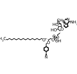 CCCCCCCCCCCCCCCCCOC[C@H](COP(=O)(O)OCC[C@H]1O[C@@](C=NC)(c2ccc3c(N)ncnn23)[C@H](O)[C@@H]1O)OCc1ccc(C#N)cc1